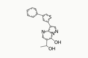 CC(O)c1cnc2c(-c3cc(-c4ccccc4)cs3)cnn2c1O